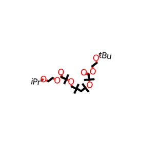 CC(C)OCCOC(=O)C(C)(C)OCC(C)(C)CC(C)(C)OC(C)(C)C(=O)OCCOC(C)(C)C